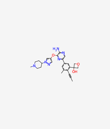 CC#Cc1c(C)cc(-c2cnc(N)c(Oc3cnn(C4CCN(C)CC4)c3)n2)cc1C1(O)COC1